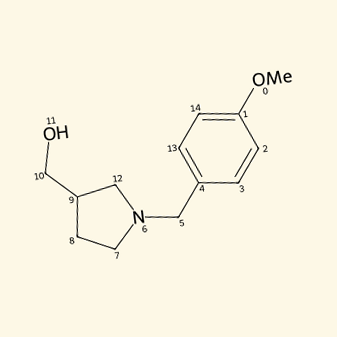 COc1ccc(CN2CCC(CO)C2)cc1